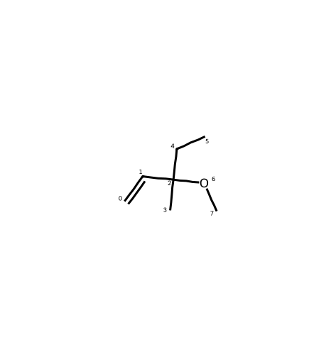 C=CC(C)(CC)OC